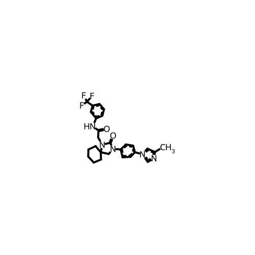 Cc1cn(-c2ccc(N3CC4(CCCCC4)N(CC(=O)Nc4cccc(C(F)(F)F)c4)C3=O)cc2)cn1